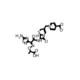 CC(ON=C(C(=O)NC1C(=O)N2C=C(C[n+]3ccc(C(=O)[O-])cc3)CS[C@H]12)c1nsc(N)n1)C(=O)O